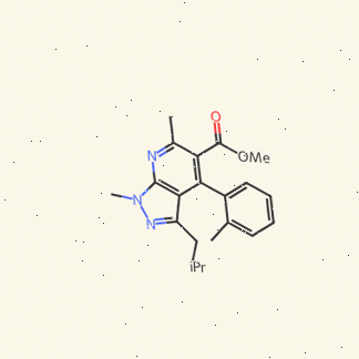 COC(=O)c1c(C)nc2c(c(CC(C)C)nn2C)c1-c1ccccc1C